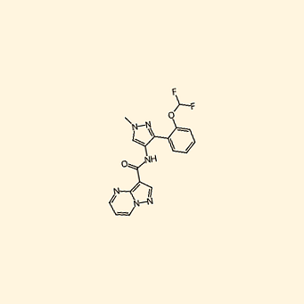 Cn1cc(NC(=O)c2cnn3cccnc23)c(-c2ccccc2OC(F)F)n1